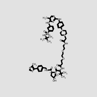 Cc1cnc(Nc2ccc(N3CCN(CC(=O)NCCOCCOCCC(=O)N[C@H](C(=O)N4C[C@H](O)C[C@H]4C(=O)NCc4ccc(-c5scnc5C)cc4)C(C)(C)C)CC3)cc2)nc1Nc1cccc(S(=O)(=O)NC(C)(C)C)c1